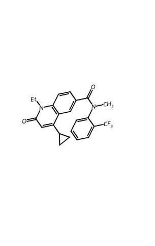 CCn1c(=O)cc(C2CC2)c2cc(C(=O)N(C)c3ccccc3C(F)(F)F)ccc21